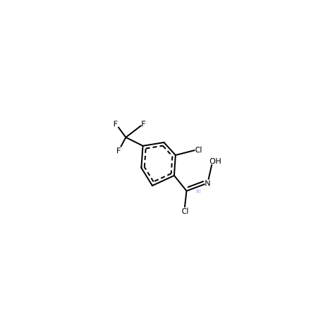 O/N=C(/Cl)c1ccc(C(F)(F)F)cc1Cl